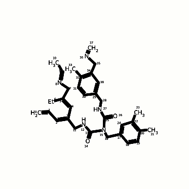 C=C/C=C(\C=C(/CC)CN=CC)CNC(=O)N(Cc1ccc(C)c(C)c1)C(=O)NCc1ccc(C)c(CN=C)c1